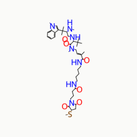 CN[C@H](C(=O)NC(C(=O)N(C)C/C=C(\C)C(=O)NCCCCCNC(=O)CCCN1C(=O)CC(SC)C1=O)C(C)(C)C)C(C)(C)c1cn(C)c2ccccc12